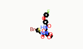 O=C(NCC(=O)N1CC2(C[C@H]1C(=O)NCc1cc(Br)cs1)OCCO2)C1=CC=C(Oc2ccc(F)cc2)CC1